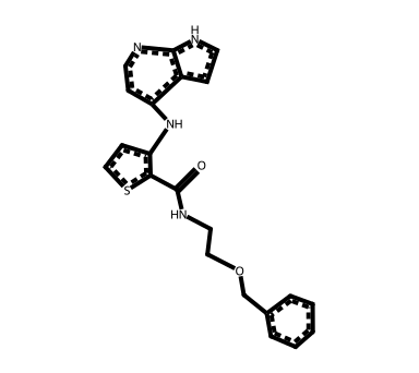 O=C(NCCOCc1ccccc1)c1sccc1Nc1ccnc2[nH]ccc12